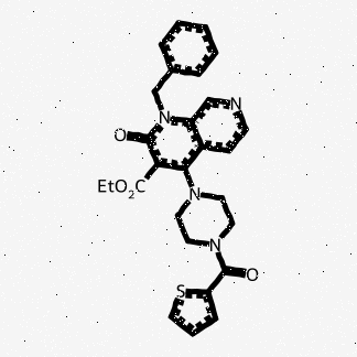 CCOC(=O)c1c(N2CCN(C(=O)c3cccs3)CC2)c2ccncc2n(Cc2ccccc2)c1=O